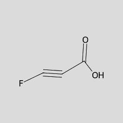 O=C(O)C#CF